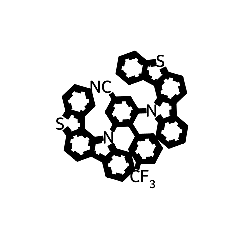 N#Cc1cc(-n2c3ccccc3c3ccc4sc5ccccc5c4c32)c(-c2cccc(C(F)(F)F)c2)c(-n2c3ccccc3c3ccc4sc5ccccc5c4c32)c1